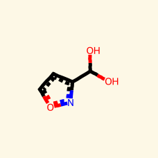 OC(O)c1ccon1